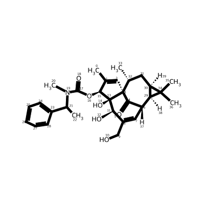 CC1=C[C@]23C(=O)[C@@H](C=C(CO)[C@@H](O)[C@]2(O)[C@H]1OC(=O)N(C)C(C)c1ccccc1)[C@H]1[C@@H](C[C@H]3C)C1(C)C